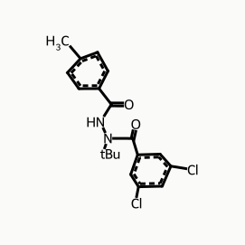 Cc1ccc(C(=O)NN(C(=O)c2cc(Cl)cc(Cl)c2)C(C)(C)C)cc1